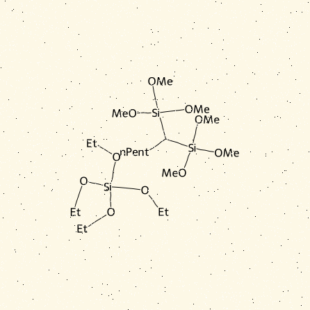 CCCCCC([Si](OC)(OC)OC)[Si](OC)(OC)OC.CCO[Si](OCC)(OCC)OCC